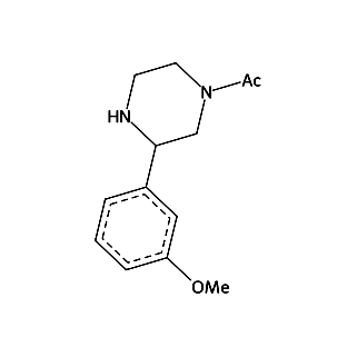 COc1cccc(C2CN(C(C)=O)CCN2)c1